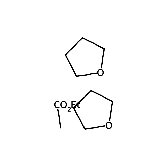 C1CCOC1.C1CCOC1.CCOC(C)=O